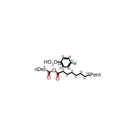 CCCCCCCCCCC(=O)OC(=O)CCCCCCC(C)CCC.O=C(O)c1ccc(F)cc1